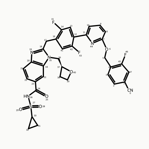 N#Cc1ccc(COc2cccc(-c3cc(F)c(Cc4nc5ccc(C(=O)NS(=O)(=O)C6CC6)cc5n4C[C@@H]4CCO4)cc3F)n2)c(F)c1